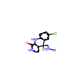 CC(C)NCC1(C(F)(F)F)c2cc(Cl)ccc2Nc2c1cc[nH]c2=O